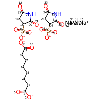 O=C([O-])CCCCCCC(=O)[O-].O=C1CC(S(=O)(=O)[O-])C(=O)N1.O=C1CC(S(=O)(=O)[O-])C(=O)N1.[Na+].[Na+].[Na+].[Na+]